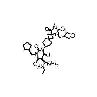 CCN/C(N)=C1\C(=O)N(CC2CCCC2)C(=O)N(C2CCC3(CC2)CC2(C3)C(=O)N(C)C(=O)N2CC2COC2)C1=O